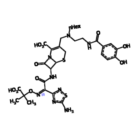 CCCCCCN(CCNC(=O)c1ccc(O)c(O)c1)CC1=C(C(=O)O)N2C(=O)C(NC(=O)/C(=N\OC(C)(C)C(=O)O)c3nsc(N)n3)C2SC1